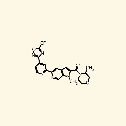 CC1COCCN1C(=O)c1cc2cc(-c3cc(-c4noc(C(F)(F)F)n4)ccn3)ncc2n1C